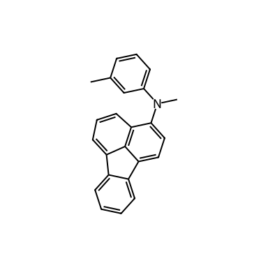 Cc1cccc(N(C)c2ccc3c4c(cccc24)-c2ccccc2-3)c1